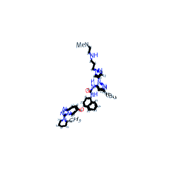 CNCCNCCCn1cc(-n2nc(C(C)(C)C)cc2NC(=O)N[C@H]2CC[C@@H](Oc3ccc4nnc(N5CCCC[C@@H]5C)n4c3)c3ccccc32)cn1